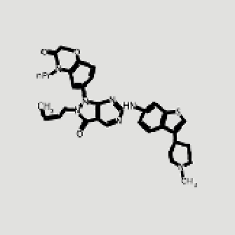 C/C=C\Cn1c(=O)c2cnc(Nc3ccc4c(C5CCN(C)CC5)csc4c3)nc2n1-c1ccc2c(c1)N(CCC)C(=O)CO2